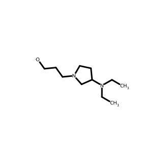 CCN(CC)C1CCN(CCC[O])C1